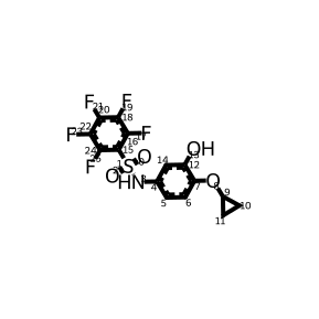 O=S(=O)(Nc1ccc(OC2CC2)c(O)c1)c1c(F)c(F)c(F)c(F)c1F